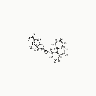 C=C(C)C(=O)OC(CC)(CC)CCOCc1cccc2ccc3ccccc3c12